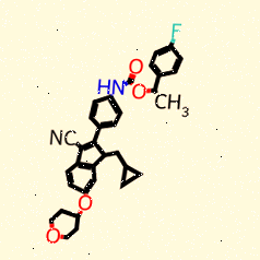 CC(OC(=O)Nc1ccc(C2=C(C#N)c3ccc(OC4CCOCC4)cc3C2CC2CC2)cc1)c1ccc(F)cc1